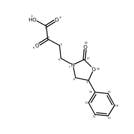 O=C(O)C(=O)CCN1CC(c2ccccc2)OC1=O